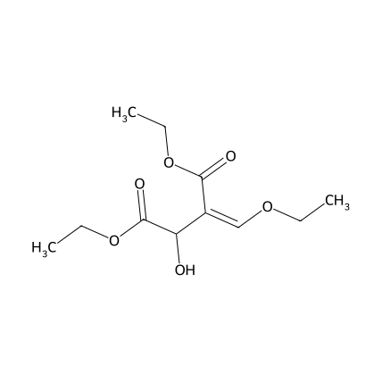 CCOC=C(C(=O)OCC)C(O)C(=O)OCC